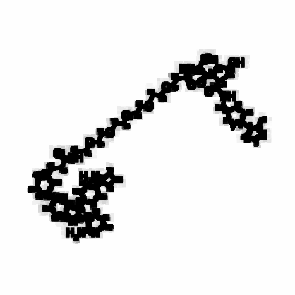 Cc1ncsc1-c1ccc(CNC(=O)[C@@H]2C[C@@H](O)CN2C(=O)[C@@H](NC(=O)CCOCCOCCOCCOCCOCCNC(=O)CCc2cccc(-c3ccc4nc(-c5cccnc5N)n(-c5ccc(C6(N)CCC6)cc5)c4n3)c2)C(C)(C)C)cc1